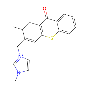 CC1Cc2c(sc3ccccc3c2=O)C=C1C[n+]1ccn(C)c1